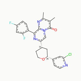 Cc1nc2c(-c3ccc(F)cc3F)nc([C@H]3CCO[C@@H](c4ccnc(Cl)c4)C3)cn2c(=O)c1C